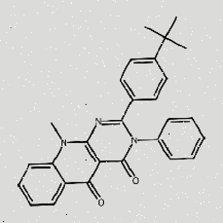 Cn1c2ccccc2c(=O)c2c(=O)n(-c3ccccc3)c(-c3ccc(C(C)(C)C)cc3)nc21